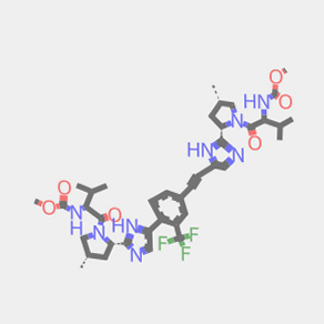 COC(=O)NC(C(=O)N1C[C@@H](C)C[C@H]1c1ncc(C#Cc2ccc(-c3cnc([C@@H]4C[C@H](C)CN4C(=O)C(NC(=O)OC)C(C)C)[nH]3)c(C(F)(F)F)c2)[nH]1)C(C)C